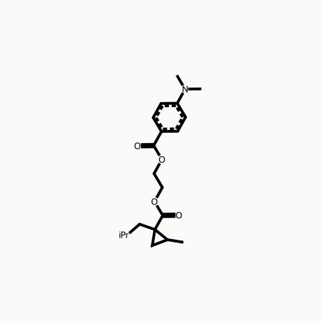 CC(C)CC1(C(=O)OCCOC(=O)c2ccc(N(C)C)cc2)CC1C